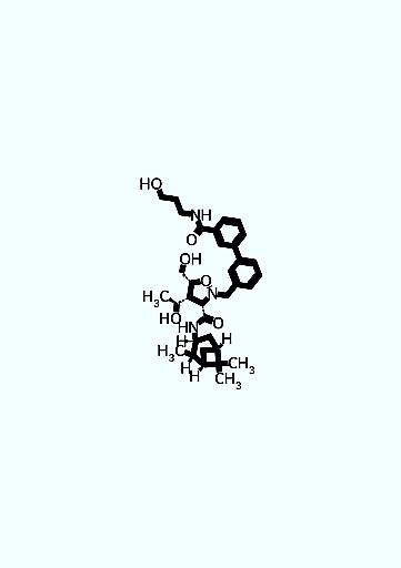 C[C@@H]1[C@@H](NC(=O)[C@@H]2[C@H]([C@H](C)O)[C@H](CO)ON2Cc2cccc(-c3cccc(C(=O)NCCCO)c3)c2)C[C@H]2C[C@@H]1C2(C)C